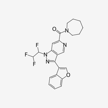 O=C(c1cc2c(cn1)c(-c1coc3ccccc13)nn2C(F)C(F)F)N1CCCCCC1